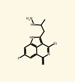 C=c1nc(CC)c2c(CC(C)NN)[nH]c3cc(F)cc1c32